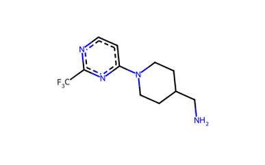 NCC1CCN(c2ccnc(C(F)(F)F)n2)CC1